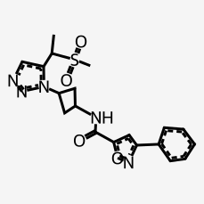 CC(c1cnnn1C1CC(NC(=O)c2cc(-c3ccccc3)no2)C1)S(C)(=O)=O